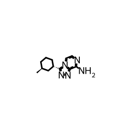 C[C@H]1CCC[C@H](c2nnc3c(N)nccn23)C1